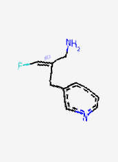 NC/C(=C/F)Cc1cccnc1